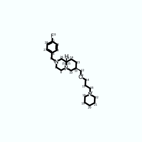 Fc1ccc(CN2CCN3C[C@H](COCCCN4CCCCC4)CC[C@H]3C2)cc1